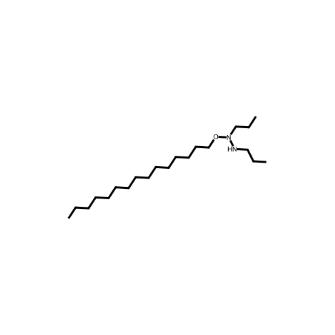 CCCCCCCCCCCCCCCON(CCC)NCCC